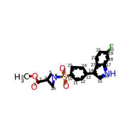 COC(=O)C1CN(S(=O)(=O)c2ccc(-c3c[nH]c4cc(F)ccc34)cc2)C1